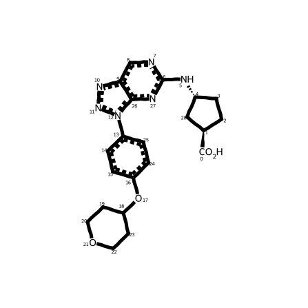 O=C(O)[C@@H]1CC[C@@H](Nc2ncc3nnn(-c4ccc(OC5CCOCC5)cc4)c3n2)C1